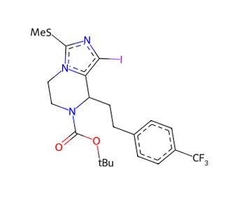 CSc1nc(I)c2n1CCN(C(=O)OC(C)(C)C)C2CCc1ccc(C(F)(F)F)cc1